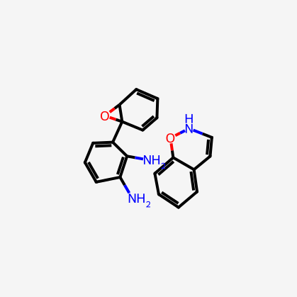 C1=Cc2ccccc2ON1.Nc1cccc(C23C=CC=CC2O3)c1N